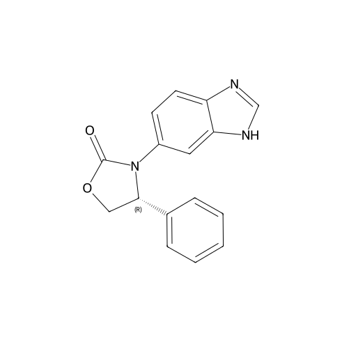 O=C1OC[C@@H](c2ccccc2)N1c1ccc2nc[nH]c2c1